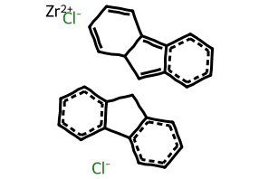 C1=CC2=c3ccccc3=CC2C=C1.[Cl-].[Cl-].[Zr+2].c1ccc2c(c1)Cc1ccccc1-2